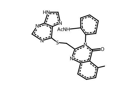 CC(=O)Nc1ccccc1-n1c(CSc2ncnc3[nH]cnc23)nc2cccc(C)c2c1=O